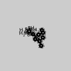 Bc1c(B)c(B)c(-c2ccc(N(c3ccc(-c4cccc5ccccc45)cc3)c3cccc4c3sc3c(-c5ccccc5)cc(-c5ccccc5)cc34)cc2)c(B)c1B